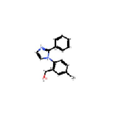 N#Cc1ccc(-n2ccnc2-c2ccccc2)c(CO)c1